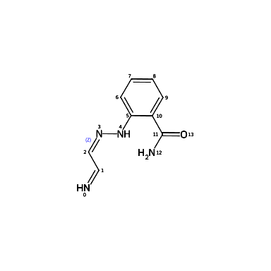 N=C/C=N\Nc1ccccc1C(N)=O